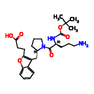 CC(C)(C)OC(=O)N[C@@H](CCCN)C(=O)N1CCC[C@H]1Cc1c(CCC(=O)O)oc2ccccc12